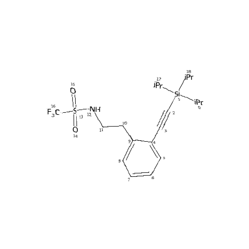 CC(C)[Si](C#Cc1ccccc1CCNS(=O)(=O)C(F)(F)F)(C(C)C)C(C)C